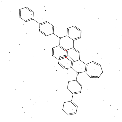 C1=CCCC(C2=CC=C(N(C3=C(C4C=C(c5ccccc5N(c5ccccc5)c5ccc(-c6ccccc6)cc5)C=CC4)C=CCC=C3)c3ccccc3)CC2)=C1